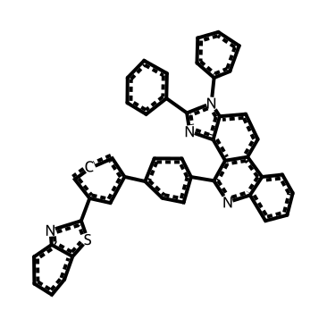 c1ccc(-c2nc3c4c(-c5ccc(-c6cccc(-c7nc8ccccc8s7)c6)cc5)nc5ccccc5c4ccc3n2-c2ccccc2)cc1